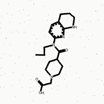 CCCN(C(=O)C1CCN(CC(=O)O)CC1)c1ccc2c(n1)NCCC2